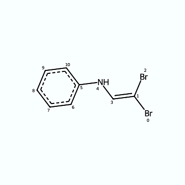 BrC(Br)=CNc1ccccc1